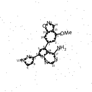 COc1cc(-c2cc(-c3ccn(C)n3)n3ncnc(N)c23)cc2oncc12